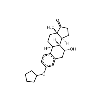 C[C@]12CC[C@@H]3c4ccc(OC5CCCC5)cc4C[C@@H](O)[C@H]3[C@@H]1CCC2=O